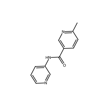 Cc1ccc(C(=O)Nc2cccnc2)cn1